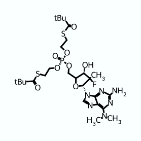 CN(C)c1nc(N)nc2c1ncn2[C@@H]1OC(COP(=O)(OCCSC(=O)C(C)(C)C)OCCSC(=O)C(C)(C)C)[C@@H](O)[C@@]1(C)F